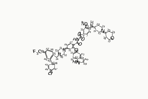 O=C(NS(=O)(=O)c1ccc(NC2CCN(C3CCOCC3)CC2)c([N+](=O)[O-])c1)c1ccc(N2CCN(Cc3ccc(C(F)(F)F)cc3-c3ccc(Cl)cc3)CC2)cc1Oc1ccc2[nH]ccc2c1